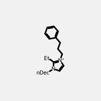 CCCCCCCCCCn1cc[n+](CCCc2ccccc2)c1CC